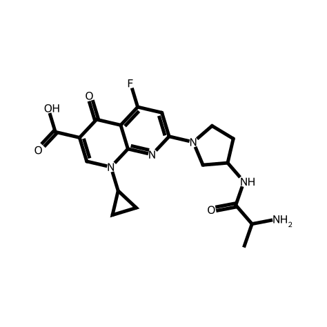 CC(N)C(=O)NC1CCN(c2cc(F)c3c(=O)c(C(=O)O)cn(C4CC4)c3n2)C1